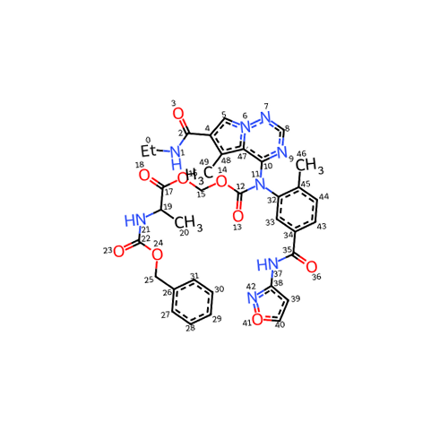 CCNC(=O)c1cn2ncnc(N(C(=O)OCOC(=O)C(C)NC(=O)OCc3ccccc3)c3cc(C(=O)Nc4ccon4)ccc3C)c2c1C